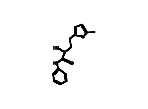 Cc1ccc(CCN(O)C(=O)Nc2ccccc2)o1